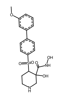 COc1cccc(-c2ccc(S(=O)(=O)C3CCNCC3(O)C(=O)NO)cc2)c1